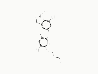 [C-]#[N+]c1cc(Cl)c(Oc2cc(C)c3c(c2)COB3O)nc1OCCCC(C)=O